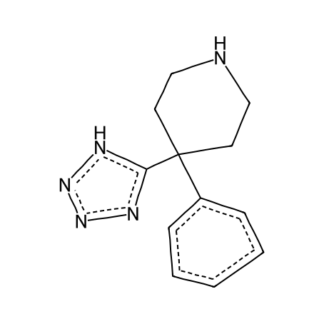 c1ccc(C2(c3nnn[nH]3)CCNCC2)cc1